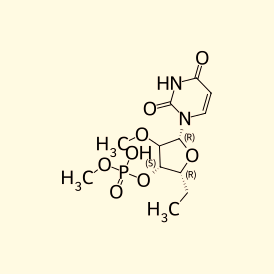 CC[C@H]1O[C@@H](n2ccc(=O)[nH]c2=O)C(OC)[C@H]1OP(=O)(O)OC